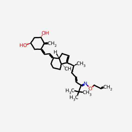 C=CCON=C(/C=C/C[C@H](C)C1=CC[C@H]2/C(=C/C=C3/C[C@@H](O)C[C@H](O)C3=C)CCC[C@]12C)C(C)(C)C